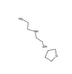 C1CCOC1.OCCNCCO